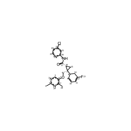 Cc1ncc(OC[C@@]2(C3C=CC=C(F)C3)C[C@H]2C(=O)Nc2cc(Cl)ccn2)c(C)n1